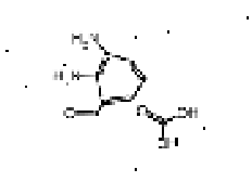 Nc1cccc(C=O)c1N.O=C(O)O